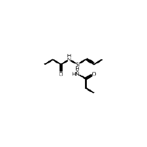 CC=C[SiH](NC(=O)CC)NC(=O)CC